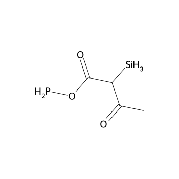 CC(=O)C([SiH3])C(=O)OP